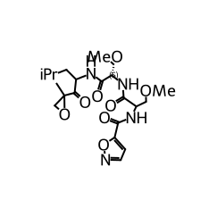 COCC(NC(=O)c1ccno1)C(=O)N[C@@H](COC)C(=O)NC(CC(C)C)C(=O)C1(C)CO1